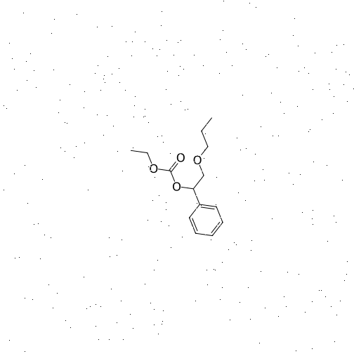 CCCOCC(OC(=O)OCC)c1ccccc1